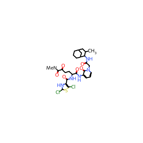 CNC(=O)C(=O)CCC(NC(=O)C1=C(Cl)SC(Cl)N1)C(=O)Nc1cccn(CC(=O)NC2C(C)CC3CCCC2C3)c1=O